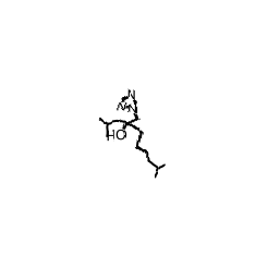 CC(C)CC=CCC(O)(CC(C)C)Cn1cncn1